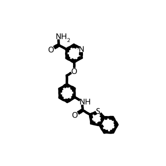 NC(=O)c1cncc(OCc2cccc(NC(=O)c3cc4ccccc4s3)c2)c1